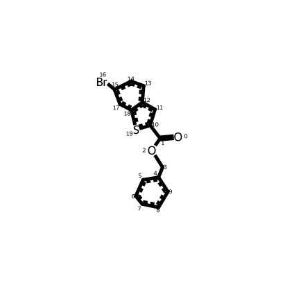 O=C(OCc1ccccc1)c1cc2ccc(Br)cc2s1